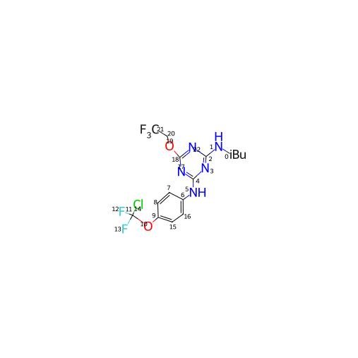 CCC(C)Nc1nc(Nc2ccc(OC(F)(F)Cl)cc2)nc(OCC(F)(F)F)n1